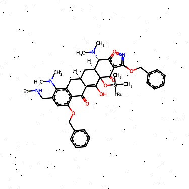 CCNCc1cc(OCc2ccccc2)c2c(c1N(C)C)C[C@H]1C[C@H]3[C@H](N(C)C)c4onc(OCc5ccccc5)c4C(=O)C3(O[Si](C)(C)C(C)(C)C)C(O)=C1C2=O